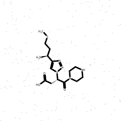 CSCC[C@H](N)c1cn([C@@H](CC(=O)O)C(=O)N2CCNCC2)nn1